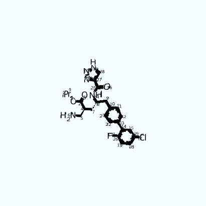 CC(C)OC(=O)[C@H](CN)C[C@@H](Cc1ccc(-c2cc(Cl)ccc2F)cc1)NC(=O)c1c[nH]nn1